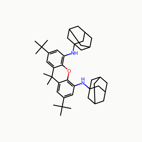 CC(C)(C)c1cc(NC23CC4CC(CC(C4)C2)C3)c2c(c1)C(C)(C)c1cc(C(C)(C)C)cc(NC34CC5CC(CC(C5)C3)C4)c1O2